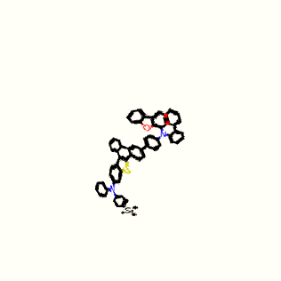 C[Si](C)(C)c1ccc(N(c2ccccc2)c2ccc3c(c2)sc2c4ccc(-c5ccc(N(c6ccccc6-c6ccccc6)c6cccc7c6oc6ccccc67)cc5)cc4c4ccccc4c32)cc1